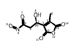 CC1=C([C@H](O)CC(=O)N=O)C(=O)OC1=O